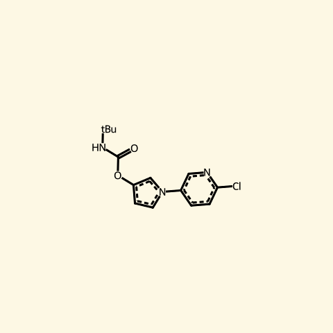 CC(C)(C)NC(=O)Oc1ccn(-c2ccc(Cl)nc2)c1